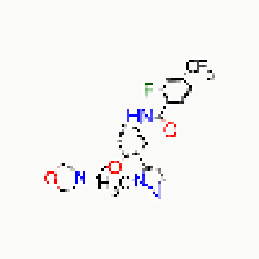 Cn1nccc1-c1cc(NC(=O)c2ccc(C(F)(F)F)cc2F)ccc1OCCN1CCOCC1